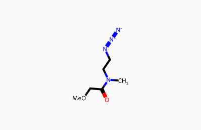 COCC(=O)N(C)CCN=[N+]=[N-]